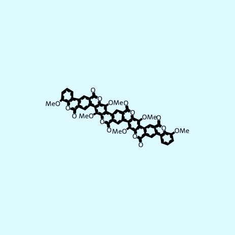 COc1cccc2c1oc(=O)c1cc3c(cc12)c(=O)oc1c(OC)c2c(oc(=O)c4cc5c(cc42)c(=O)oc2c(OC)c4c(oc(=O)c6cc7c(cc64)c(=O)oc4c(OC)cccc47)c(OC)c25)c(OC)c13